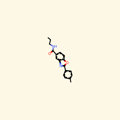 CCCNC(=O)c1ccc2oc(-c3ccc(C)cc3)nc2c1